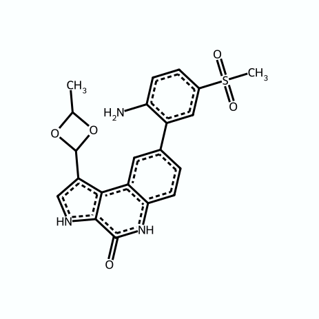 CC1OC(c2c[nH]c3c(=O)[nH]c4ccc(-c5cc(S(C)(=O)=O)ccc5N)cc4c23)O1